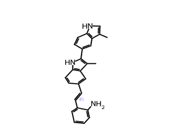 Cc1c[nH]c2ccc(-c3[nH]c4ccc(/C=C/c5ccccc5N)cc4c3C)cc12